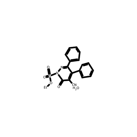 CCOS(=O)(=O)n1nc(-c2ccccc2)c(-c2ccccc2)c(C#N)c1=O.O